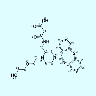 O=C(O)CC(=O)NCC1CN(C2=Nc3ccccc3Sc3ccccc32)CCN1CCOCCO